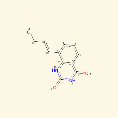 O=c1[nH]c(=O)c2cccc(/C=C/CCl)c2[nH]1